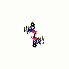 CN(C)C(=O)N(C)[C@H](COC(=O)/C=C/C(=O)OC[C@H](Cc1ccccc1)N(C)C(=O)N(C)C)Cc1ccccc1